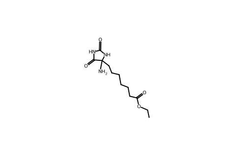 CCOC(=O)CCCCCCC1(N)NC(=O)NC1=O